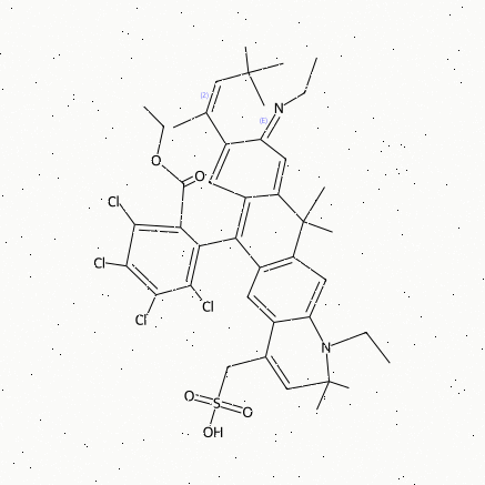 CC/N=C1\C=C2C(=C(c3c(Cl)c(Cl)c(Cl)c(Cl)c3C(=O)OCC)c3cc4c(cc3C2(C)C)N(CC)C(C)(C)C=C4CS(=O)(=O)O)C=C1/C(C)=C\C(C)(C)C